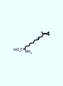 CC(C/C=C/CCCCCC(N)C(=O)O)=C1CC1